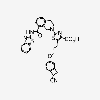 N#CC1Cc2cc(OCCCc3sc(N4CCc5cccc(C(=O)Nc6nc7ccccc7s6)c5C4)nc3C(=O)O)ccc21